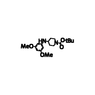 COc1cc(NC2CCN(C(=O)OC(C)(C)C)CC2)cc(OC)c1